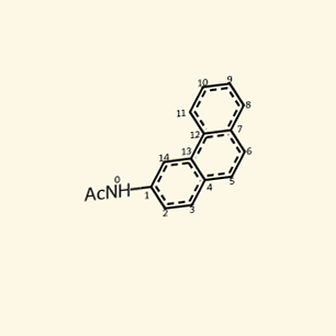 CC(=O)Nc1ccc2ccc3ccccc3c2c1